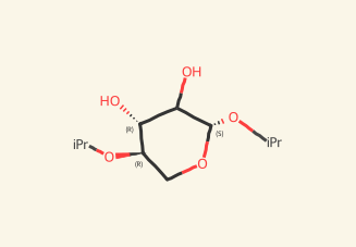 CC(C)O[C@@H]1OC[C@@H](OC(C)C)[C@H](O)C1O